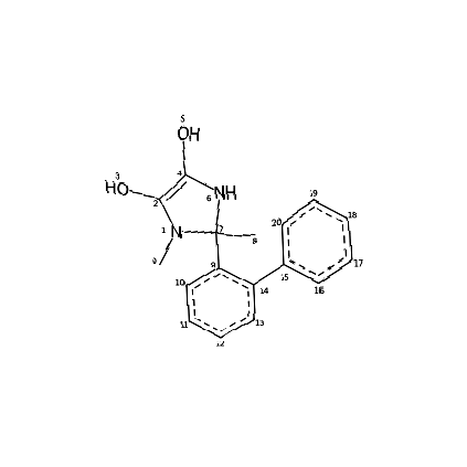 CN1C(O)=C(O)NC1(C)c1ccccc1-c1ccccc1